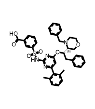 Cc1cccc(C)c1-c1cc(OC(Cc2ccccc2)[C@H]2COCCN2Cc2ccccc2)nc(NS(=O)(=O)c2cccc(C(=O)O)c2)n1